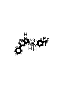 O=C(Nc1ccc(C(F)(F)F)cc1)Nc1c[nH]c2ncc(C3CCCCC3)cc12